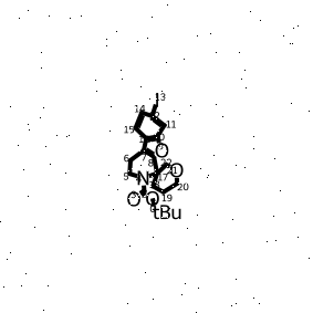 CC(C)(C)OC(=O)N1CCc2c(oc3cc(I)ccc23)C12CCCOC2